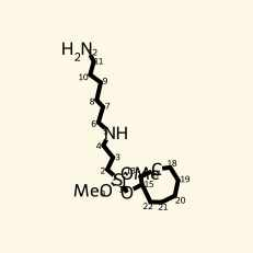 CO[Si](CCCNCCCCCCN)(OC)OC1CCCCCCC1